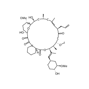 C=CC[C@@H]1/C=C(\C)C[C@H](C)C[C@H](O)[C@H]2O[C@@](O)(C(=O)C(=O)N3CCCC[C@H]3C(=O)O[C@H](/C(C)=C/[C@@H]3CC[C@@H](O)[C@H](OC)C3)[C@H](C)[C@@H](OI)CC1=O)[C@H](C)C[C@@H]2OC